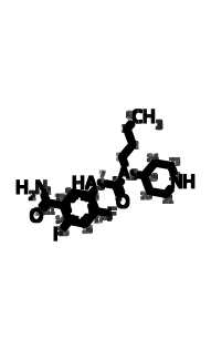 CCCC[As](C(=O)[AsH]c1cc(C(N)=O)c(F)cc1F)C1CCNCC1